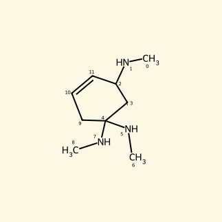 CNC1[CH]C(NC)(NC)CC=C1